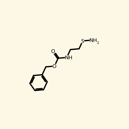 NSCCNC(=O)OCc1ccccc1